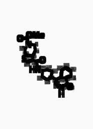 COC(=O)N1CCc2c(C(=O)N[C@H]3CC[C@H](c4n[nH]c(=O)c5ccccc54)CC3)csc2C1